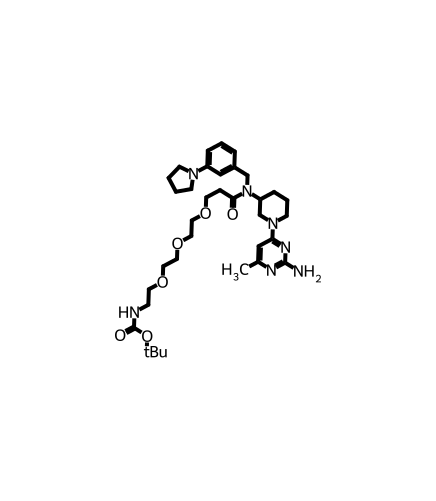 Cc1cc(N2CCCC(N(Cc3cccc(N4CCCC4)c3)C(=O)CCOCCOCCOCCNC(=O)OC(C)(C)C)C2)nc(N)n1